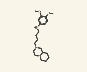 COc1ccc(NCCCCN2CCN3CCCCC3C2)cc1OC